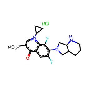 Cl.O=C(O)c1cn(C2CC2)c2c(F)c(N3CC4CCCNC4C3)c(F)cc2c1=O